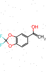 C=C(O)c1ccc2c(c1)OC(F)(F)O2